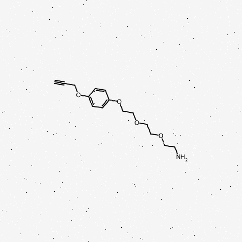 C#CCOc1ccc(OCCOCCOCCN)cc1